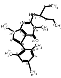 CCCC(CC)Nc1nc2c(c(-c3c(C)cc(C)cc3C)cn2C)c(=O)n1C